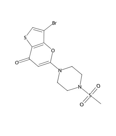 CS(=O)(=O)N1CCN(c2cc(=O)c3scc(Br)c3o2)CC1